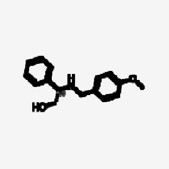 COc1ccc(CN[C@H](CO)c2ccccc2)cc1